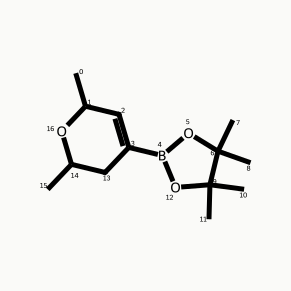 CC1C=C(B2OC(C)(C)C(C)(C)O2)CC(C)O1